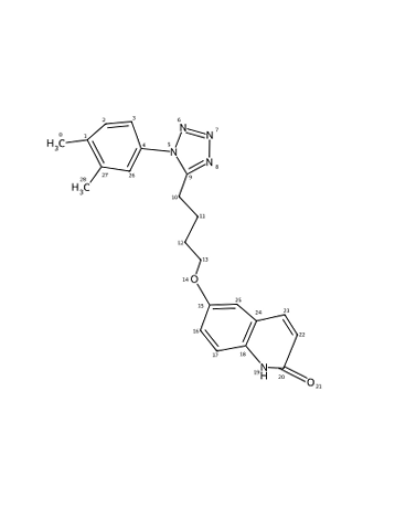 Cc1ccc(-n2nnnc2CCCCOc2ccc3[nH]c(=O)ccc3c2)cc1C